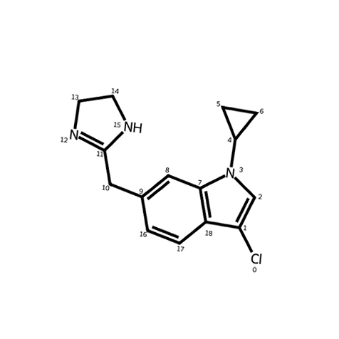 Clc1cn(C2CC2)c2cc(CC3=NCCN3)ccc12